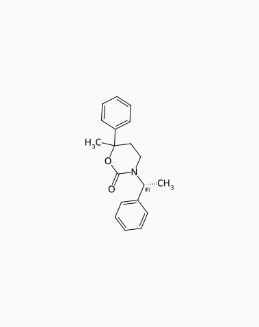 C[C@H](c1ccccc1)N1CCC(C)(c2ccccc2)OC1=O